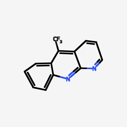 FC(F)(F)c1c2ccccc2nc2ncccc12